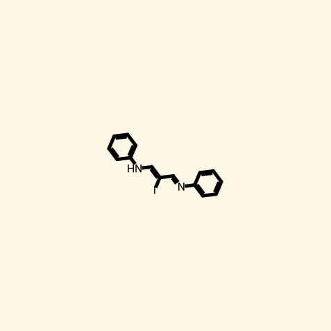 IC(C=Nc1ccccc1)=CNc1ccccc1